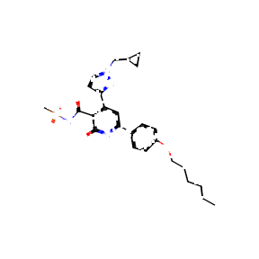 CCCCCCOc1ccc(-c2cc(-c3ccn(CC4CC4)n3)c(C(=O)NS(C)(=O)=O)c(=O)[nH]2)cc1